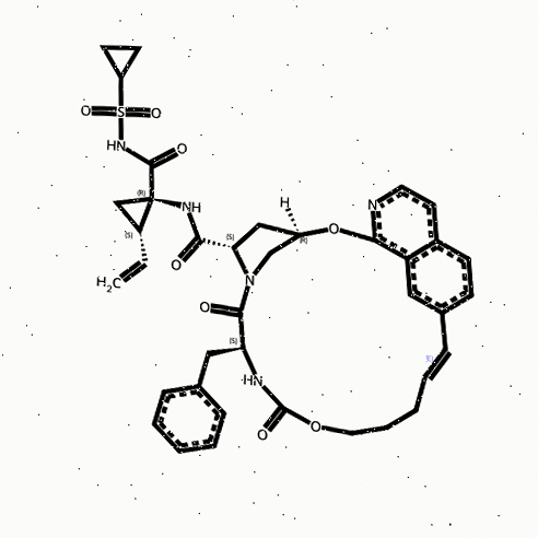 C=C[C@@H]1C[C@]1(NC(=O)[C@@H]1C[C@@H]2CN1C(=O)[C@H](Cc1ccccc1)NC(=O)OCCC/C=C/c1ccc3ccnc(c3c1)O2)C(=O)NS(=O)(=O)C1CC1